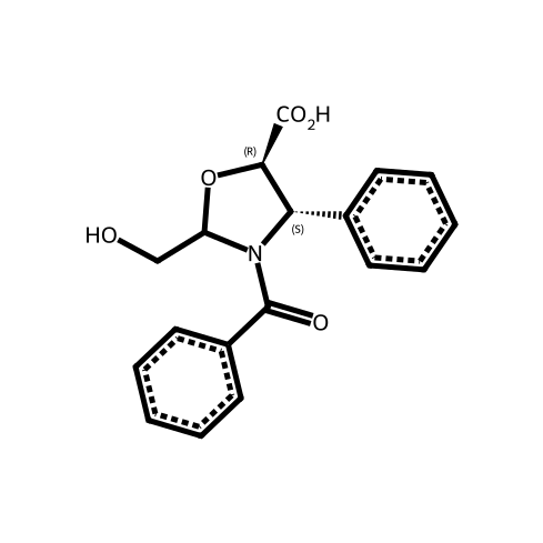 O=C(O)[C@@H]1OC(CO)N(C(=O)c2ccccc2)[C@H]1c1ccccc1